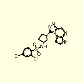 O=S(=O)(N[C@H]1CC[C@@H](c2nnc3cnc4[nH]ccc4n23)C1)c1ccc(Cl)cc1Cl